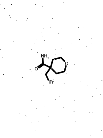 CC(C)CC1(C(N)=O)CCOCC1